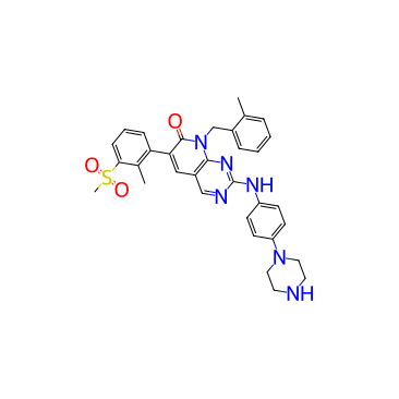 Cc1ccccc1Cn1c(=O)c(-c2cccc(S(C)(=O)=O)c2C)cc2cnc(Nc3ccc(N4CCNCC4)cc3)nc21